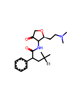 CCC(C)(C)C[C](C(=O)NC1C(=O)CO[C@H]1CCN(C)C)c1ccccc1